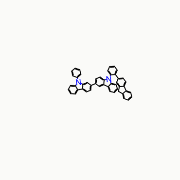 c1ccc(-n2c3ccccc3c3ccc(-c4ccc5c(c4)c4ccccc4n5-c4ccccc4-c4ccc5c(c4)Cc4ccccc4-5)cc32)cc1